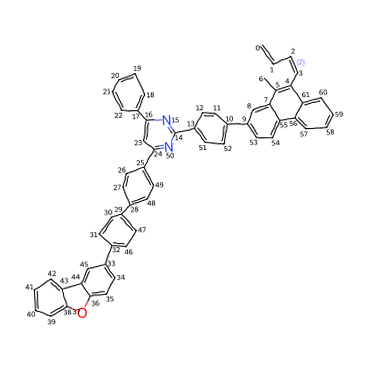 C=C/C=C\c1c(C)c2cc(-c3ccc(-c4nc(-c5ccccc5)cc(-c5ccc(-c6ccc(-c7ccc8oc9ccccc9c8c7)cc6)cc5)n4)cc3)ccc2c2ccccc12